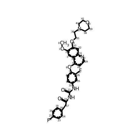 COc1cc2c(Oc3ccc(NC(=O)NC(=O)Cc4ccc(F)cc4)cc3F)ccnc2cc1OCCN1CCOCC1